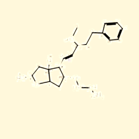 BPPO[C@@H]1CC2O[C@H](O)C[C@@H]2[C@H]1/C=C/[C@H](CCc1ccccc1)OC